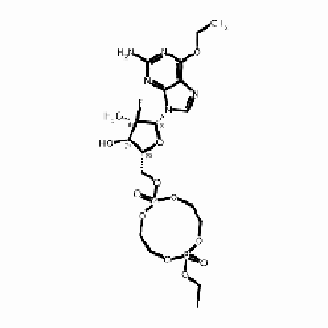 CCOc1nc(N)nc2c1ncn2[C@@H]1O[C@H](COP2(=O)OCCOP(=O)(OCI)OCCO2)[C@@H](O)[C@@]1(C)F